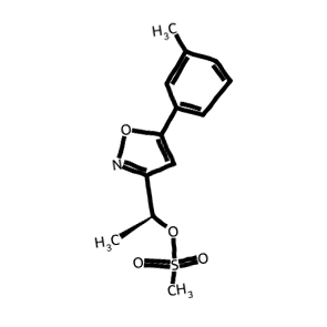 Cc1cccc(-c2cc([C@H](C)OS(C)(=O)=O)no2)c1